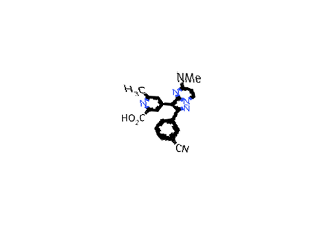 CNc1ccn2nc(-c3cccc(C#N)c3)c(-c3cc(C)nc(C(=O)O)c3)c2n1